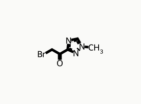 Cn1cnc(C(=O)CBr)n1